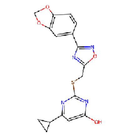 Oc1cc(C2CC2)nc(SCc2nc(-c3ccc4c(c3)OCO4)no2)n1